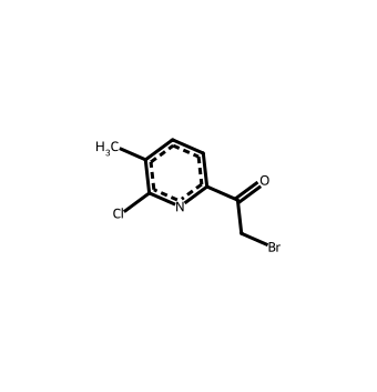 Cc1ccc(C(=O)CBr)nc1Cl